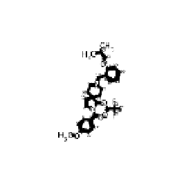 COc1ccc(C(=O)N2CCC3(CCN(Cc4ccccc4OCC(C)C)CC3)C2OC(=O)C(F)(F)F)cc1